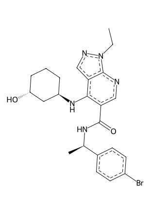 CCn1ncc2c(N[C@@H]3CCC[C@@H](O)C3)c(C(=O)N[C@H](C)c3ccc(Br)cc3)cnc21